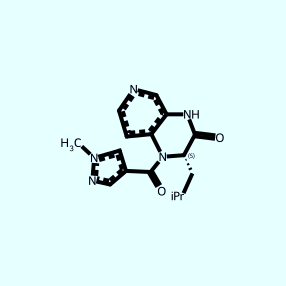 CC(C)C[C@H]1C(=O)Nc2cnccc2N1C(=O)c1cnn(C)c1